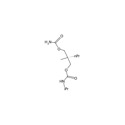 CCC[C@](C)(COC(N)=O)COC(=O)NC(C)C